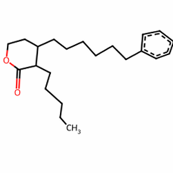 CCCCCC1C(=O)OCCC1CCCCCCc1ccccc1